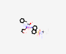 CC(C)(C)NS(=O)(=O)c1cccc2c(NC(=O)[C@H](Cc3ccccc3)NC(=O)c3ccco3)cccc12